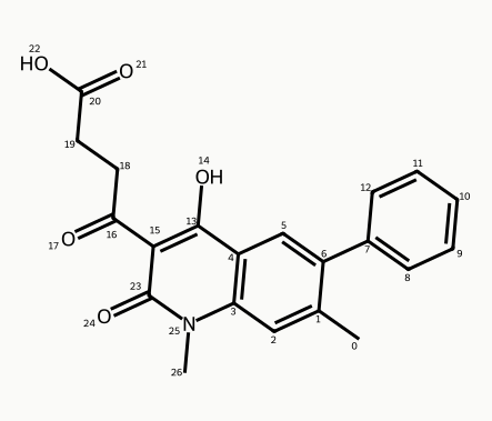 Cc1cc2c(cc1-c1ccccc1)c(O)c(C(=O)CCC(=O)O)c(=O)n2C